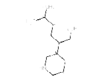 CCC(CCC(C)C)C1CCCNC1